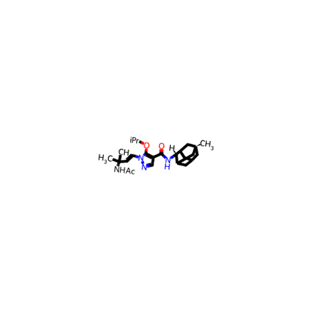 CC(=O)NC(C)(C)/C=C/n1ncc(C(=O)N[C@H]2C3CC4CC2C[C@](C)(C4)C3)c1OC(C)C